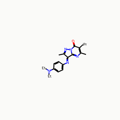 CCN(CC)c1ccc(N=C2C(C)=Nn3c2nc(C)c(C(C)C)c3=O)cc1